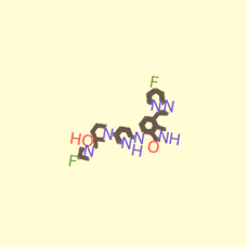 O=C1NCc2c(-c3cnc4cc(F)ccn34)ccc(Nc3ccc(N4CCCC(O)(CN5CC(F)C5)C4)cn3)c21